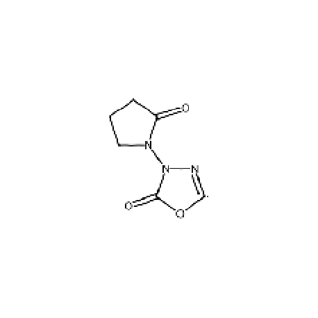 O=C1CCCN1n1n[c]oc1=O